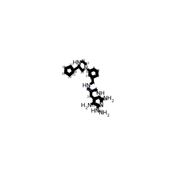 N=C/C(=C\NCc1cccc(N2CCNC(c3ccccc3)C2)c1)Cc1cc(N)nc(NN)c1N